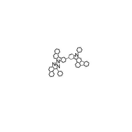 C1=CC(c2ccc3c(c2)c2c4ccccc4ccc2n3-c2nc(-c3ccccc3)c3c(ccc4ccccc43)n2)Cc2c1n(-c1ccccc1)c1cc3c4c(cccc4c21)-c1ccccc1-3